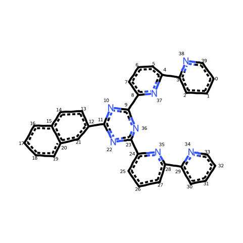 c1ccc(-c2cccc(-c3nc(-c4ccc5ccccc5c4)nc(-c4cccc(-c5ccccn5)n4)n3)n2)nc1